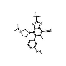 Cc1c(-c2cccc(N)c2)c(N2CC[C@H](N(C)C)C2)n2nc(C(C)(C)C)nc2c1C#N